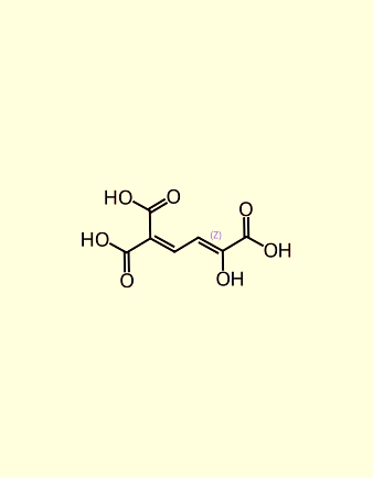 O=C(O)C(=C/C=C(\O)C(=O)O)C(=O)O